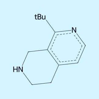 CC(C)(C)c1nccc2c1CNCC2